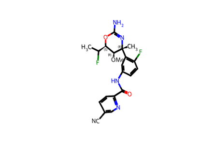 CO[C@H]1[C@@H](C(C)F)OC(N)=N[C@]1(C)c1cc(NC(=O)c2ccc(C#N)cn2)ccc1F